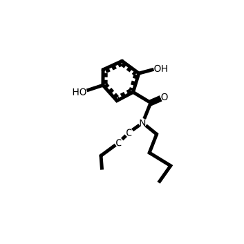 CCCCN(CCCC)C(=O)c1cc(O)ccc1O